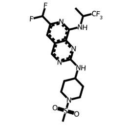 CC(Nc1nc(C(F)F)cc2cnc(NC3CCN(S(C)(=O)=O)CC3)nc12)C(F)(F)F